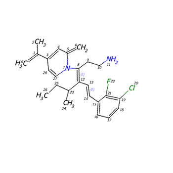 C=C(C)C1=CC(=C)N(/C(CCN)=C(/C=C/c2cccc(Cl)c2F)C(C)CC)C=C1